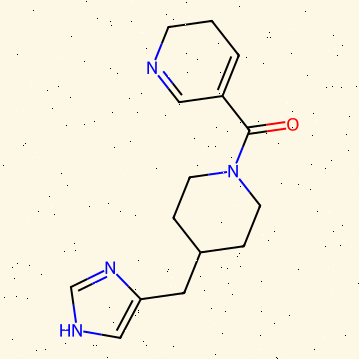 O=C(C1=CCCN=C1)N1CCC(Cc2c[nH]cn2)CC1